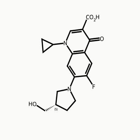 O=C(O)c1cn(C2CC2)c2cc(N3CC[C@H](CO)C3)c(F)cc2c1=O